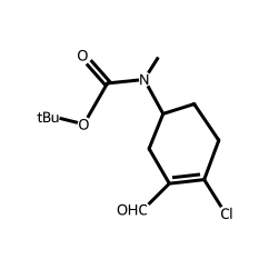 CN(C(=O)OC(C)(C)C)C1CCC(Cl)=C(C=O)C1